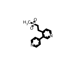 CS(=O)(=O)CCc1ccncc1-c1ccncc1